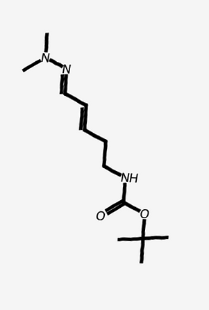 CN(C)N=CC=CCCNC(=O)OC(C)(C)C